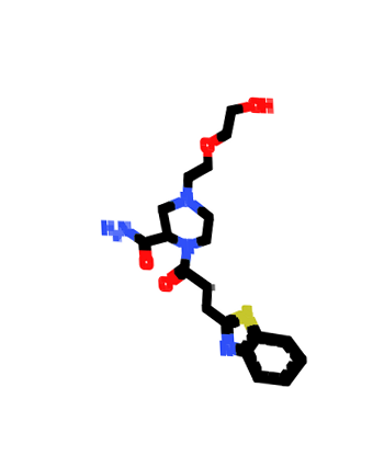 NC(=O)C1CN(CCOCCO)CCN1C(=O)[CH]Cc1nc2ccccc2s1